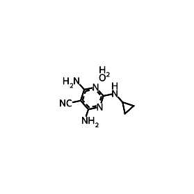 N#Cc1c(N)nc(NC2CC2)nc1N.O